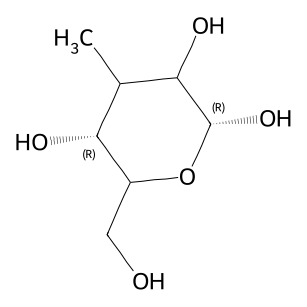 CC1C(O)[C@H](O)OC(CO)[C@@H]1O